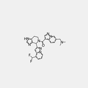 CN(C)Cc1ccc2c(C(=O)N3CCc4[nH]cnc4C3c3cc4c(C(F)F)cccn4n3)cnn2c1